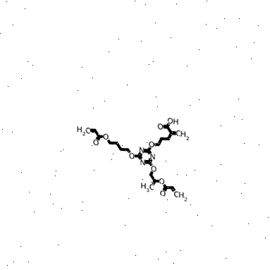 C=CC(=O)OCCCCOc1nc(OCCCC(=C)C(=O)O)nc(OCC(C)OC(=O)C=C)n1